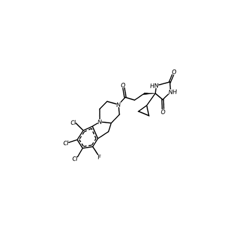 O=C1NC(=O)[C@](CCC(=O)N2CCN3c4c(Cl)c(Cl)c(Cl)c(F)c4CC3C2)(C2CC2)N1